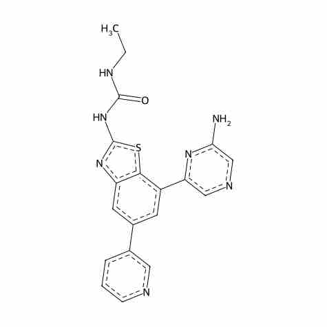 CCNC(=O)Nc1nc2cc(-c3cccnc3)cc(-c3cncc(N)n3)c2s1